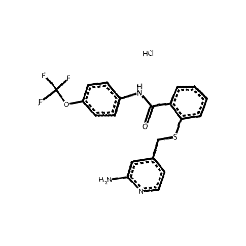 Cl.Nc1cc(CSc2ccccc2C(=O)Nc2ccc(OC(F)(F)F)cc2)ccn1